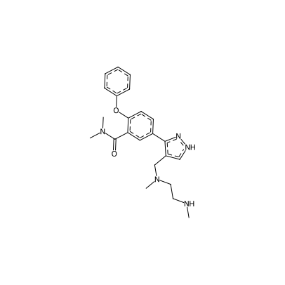 CNCCN(C)Cc1c[nH]nc1-c1ccc(Oc2ccccc2)c(C(=O)N(C)C)c1